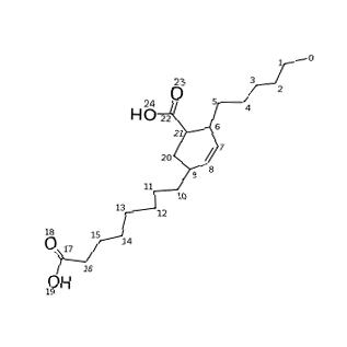 CCCCCCC1C=CC(CCCCCCCC(=O)O)CC1C(=O)O